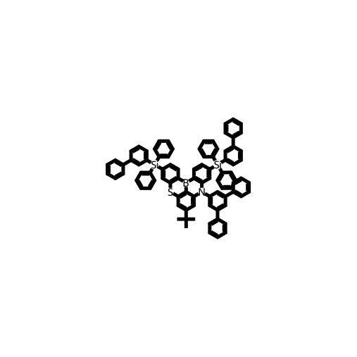 CC(C)(C)c1cc2c3c(c1)N(c1cc(-c4ccccc4)cc(-c4ccccc4)c1)c1cc([Si](c4ccccc4)(c4ccccc4)c4cccc(-c5ccccc5)c4)ccc1B3c1ccc([Si](c3ccccc3)(c3ccccc3)c3cccc(-c4ccccc4)c3)cc1S2